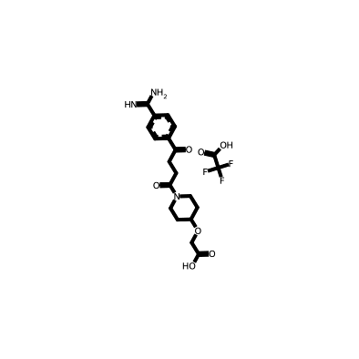 N=C(N)c1ccc(C(=O)CCC(=O)N2CCC(OCC(=O)O)CC2)cc1.O=C(O)C(F)(F)F